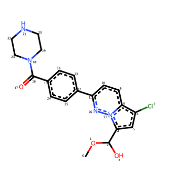 COC(O)c1cc(Cl)c2ccc(-c3ccc(C(=O)N4CCNCC4)cc3)nn12